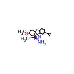 COC1CCC2(CC1)Cc1ccc(C3CC3)cc1C21N=C(N)c2nc(C)sc21